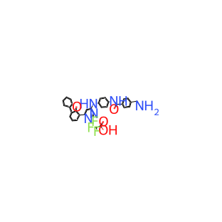 NCc1ccc(C(=O)Nc2ccc(Nc3cc(-c4cccc5c4oc4ccccc45)ncn3)cc2)cc1.O=C(O)C(F)(F)F